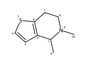 CC1c2ccsc2CCN1C